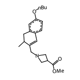 CCCCOc1ccc2c(c1)CC(C)C(CN1CC(C(=O)OC)C1)=C2